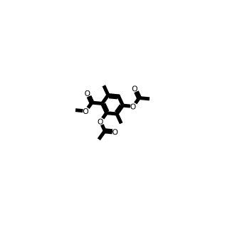 COC(=O)c1c(C)cc(OC(C)=O)c(C)c1OC(C)=O